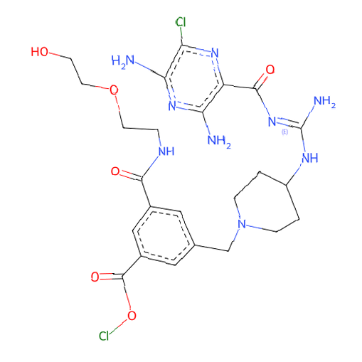 N/C(=N\C(=O)c1nc(Cl)c(N)nc1N)NC1CCN(Cc2cc(C(=O)NCCOCCO)cc(C(=O)OCl)c2)CC1